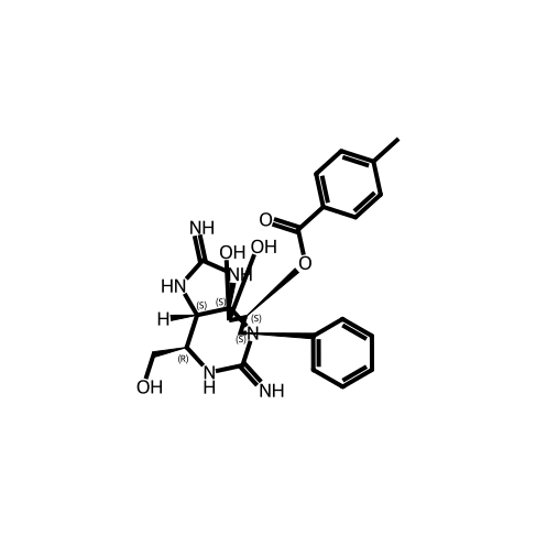 Cc1ccc(C(=O)O[C@H]2[C@H](c3ccccc3)N3C(=N)N[C@@H](CO)[C@@H]4NC(=N)N[C@@]43C2(O)O)cc1